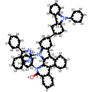 O=c1c2ccccc2c2c3ccccc3c3c4cc(-c5ccc6c(c5)c5ccccc5n6-c5ccccc5)ccc4n(-c4nc(-c5ccccc5)c5ccccc5n4)c3c2n1-c1ccccc1